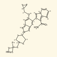 NC(=O)c1c(-c2cc3cn(C4CCN(CC5(F)CNC5)CC4)nc3cc2OCC2CC2)nn2cccnc12